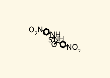 O=C(NC(=S)Nc1ccc([N+](=O)[O-])cc1)c1ccc([N+](=O)[O-])cc1